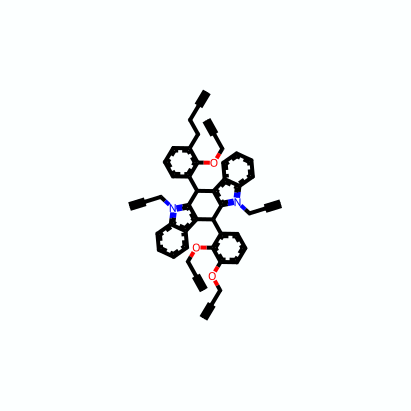 C#CCCc1cccc(C2c3c(n(CC#C)c4ccccc34)C(c3cccc(OCC#C)c3OCC#C)c3c2n(CC#C)c2ccccc32)c1OCC#C